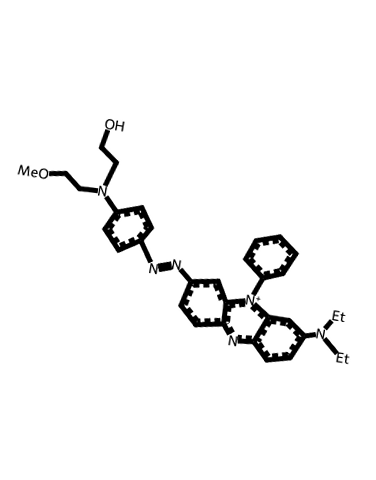 CCN(CC)c1ccc2nc3ccc(/N=N/c4ccc(N(CCO)CCOC)cc4)cc3[n+](-c3ccccc3)c2c1